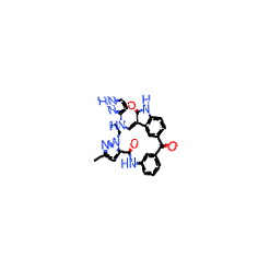 CCn1nc(C)cc1C(=O)Nc1cccc(C(=O)c2ccc3c(c2)/C(=C/Nc2cc[nH]n2)C(=O)N3)c1